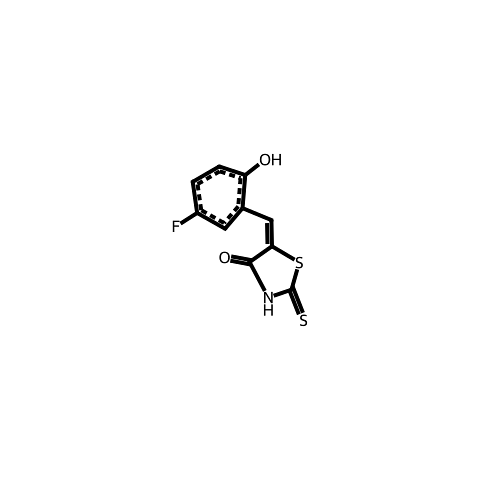 O=C1NC(=S)SC1=Cc1cc(F)ccc1O